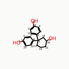 Oc1ccc(C2(c3ccc(O)cc3)CCCC(O)C2)cc1